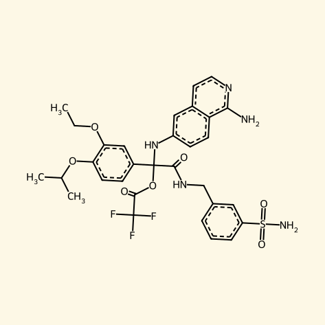 CCOc1cc(C(Nc2ccc3c(N)nccc3c2)(OC(=O)C(F)(F)F)C(=O)NCc2cccc(S(N)(=O)=O)c2)ccc1OC(C)C